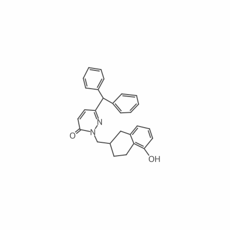 O=c1ccc(C(c2ccccc2)c2ccccc2)nn1CC1CCc2c(O)cccc2C1